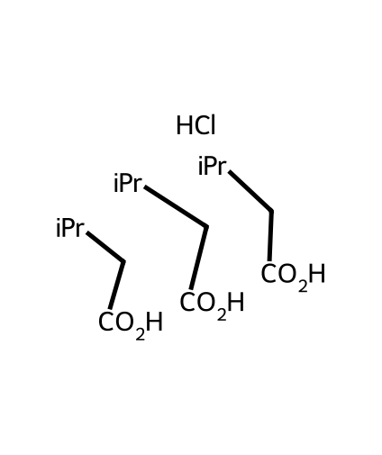 CC(C)CC(=O)O.CC(C)CC(=O)O.CC(C)CC(=O)O.Cl